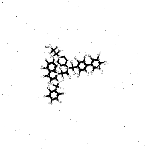 [2H]c1c([2H])c(F)c(F)c(C([2H])([2H])Sc2c([2H])c(=O)c3c([2H])c(C)c([2H])c([2H])c3n2C([2H])([2H])C(=O)N(C2CCN(C([2H])([2H])C([2H])([2H])OC)CC2)C([2H])([2H])c2c([2H])c([2H])c(-c3c([2H])c([2H])c(C(F)(F)F)c([2H])c3[2H])c([2H])c2[2H])c1[2H]